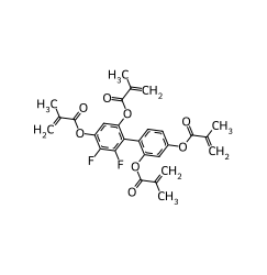 C=C(C)C(=O)Oc1ccc(-c2c(OC(=O)C(=C)C)cc(OC(=O)C(=C)C)c(F)c2F)c(OC(=O)C(=C)C)c1